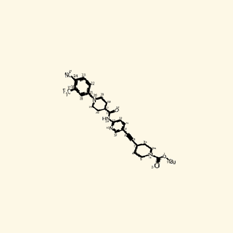 CC(C)(C)OC(=O)N1CCC(C#Cc2ccc(NC(=O)C3CCN(c4ccc(C#N)c(C(F)(F)F)c4)CC3)nc2)CC1